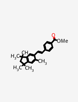 COC(=O)c1ccc(C=Cc2cc3c(cc2C)C(C)(C)CC3(C)C)cc1